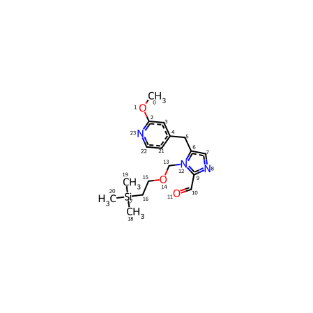 COc1cc(Cc2cnc(C=O)n2COCC[Si](C)(C)C)ccn1